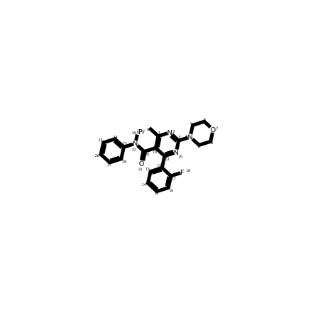 Cc1nc(N2CCOCC2)nc(-c2ccccc2F)c1C(=O)N(c1ccccc1)C(C)C